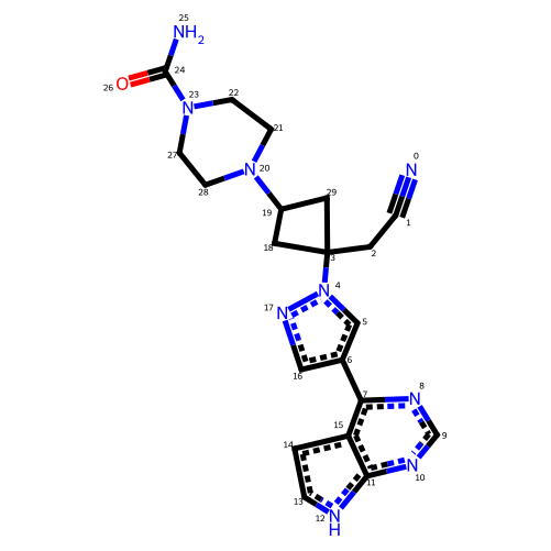 N#CCC1(n2cc(-c3ncnc4[nH]ccc34)cn2)CC(N2CCN(C(N)=O)CC2)C1